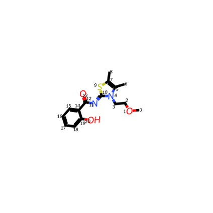 COCCn1c(C)c(C)sc1=NC(=O)c1ccccc1O